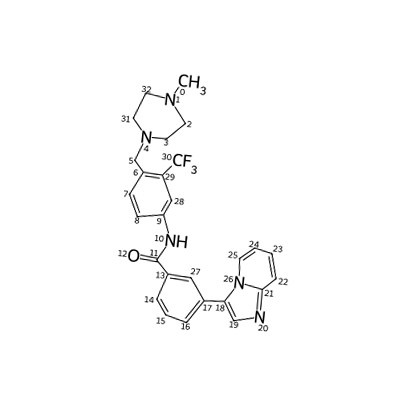 CN1CCN(Cc2ccc(NC(=O)c3cccc(-c4cnc5ccccn45)c3)cc2C(F)(F)F)CC1